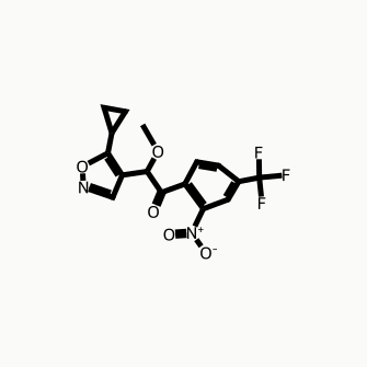 COC(C(=O)c1ccc(C(F)(F)F)cc1[N+](=O)[O-])c1cnoc1C1CC1